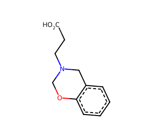 O=C(O)CCN1COc2ccccc2C1